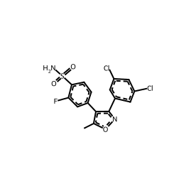 Cc1onc(-c2cc(Cl)cc(Cl)c2)c1-c1ccc(S(N)(=O)=O)c(F)c1